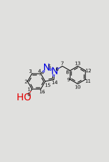 Oc1ccc2nn(Cc3ccccc3)cc2c1